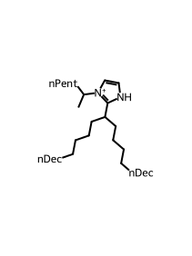 CCCCCCCCCCCCCCC(CCCCCCCCCCCCCC)c1[nH]cc[n+]1C(C)CCCCC